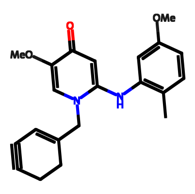 COc1ccc(C)c(Nc2cc(=O)c(OC)cn2CC2=CC#CCC2)c1